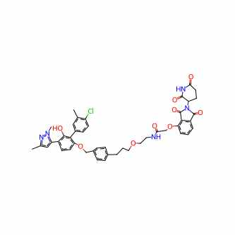 Cc1cc(-c2ccc(OCc3ccc(CCCOCCNC(=O)COc4cccc5c4C(=O)N(C4CCC(=O)NC4=O)C5=O)cc3)c(-c3ccc(Cl)c(C)c3)c2O)n(C)n1